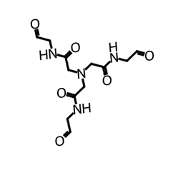 O=CCNC(=O)CN(CC(=O)NCC=O)CC(=O)NCC=O